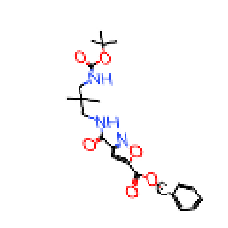 CC(C)(CNC(=O)OC(C)(C)C)CNC(=O)c1cc(C(=O)OCc2ccccc2)on1